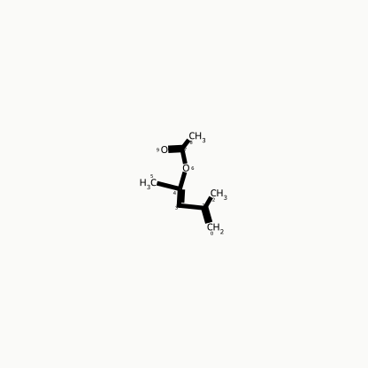 C=C(C)C=C(C)OC(C)=O